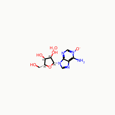 Nc1c2ncn([C@@H]3O[C@H](CO)[C@@H](O)[C@H]3O)c2nc[n+]1[O-].O